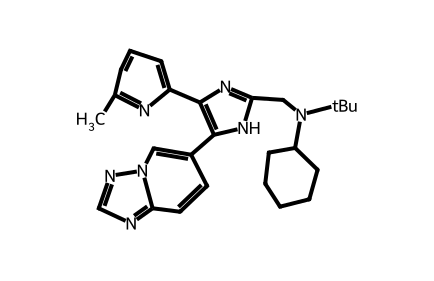 Cc1cccc(-c2nc(CN(C3CCCCC3)C(C)(C)C)[nH]c2-c2ccc3ncnn3c2)n1